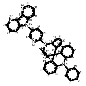 c1ccc(N2c3ccccc3C3(c4ccccc42)c2ccccc2N(c2ccc(-n4c5cccnc5c5ncccc54)cn2)c2ccccc23)cc1